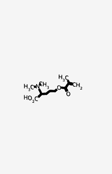 C=C(C)C(=O)OCCCC(C(=O)O)N(C)C